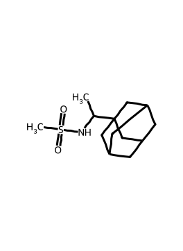 CC(NS(C)(=O)=O)C12CC3CC(CC(C3)C1)C2